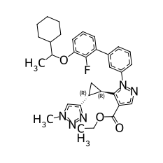 CCOC(=O)c1cnn(-c2cccc(-c3cccc(OC(C)C4CCCCC4)c3F)c2)c1[C@@H]1C[C@H]1c1cn(C)nn1